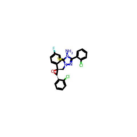 Nn1c(-c2ccccc2Cl)nn(C[C@]2(c3ccc(F)cc3)O[C@H]2c2ccccc2Cl)c1=S